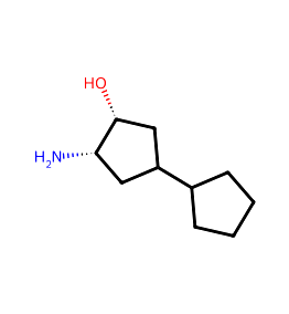 N[C@H]1CC(C2CCCC2)C[C@H]1O